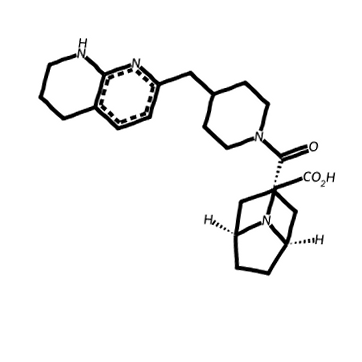 O=C(O)CN1[C@@H]2CC[C@H]1C[C@H](C(=O)N1CCC(Cc3ccc4c(n3)NCCC4)CC1)C2